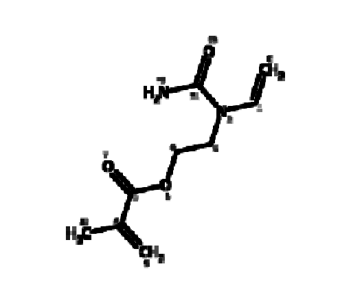 C=CN(CCOC(=O)C(=C)C)C(N)=O